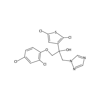 OC(COc1ccc(Cl)cc1Cl)(Cn1cncn1)c1cc(Cl)sc1Cl